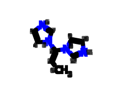 CC=C(n1ccnc1)n1ccnc1